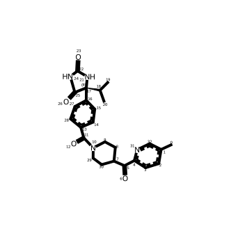 Cc1ccc(C(=O)C2CCN(C(=O)c3ccc([C@@]4(C(C)C)NC(=O)NC4=O)cc3)CC2)nc1